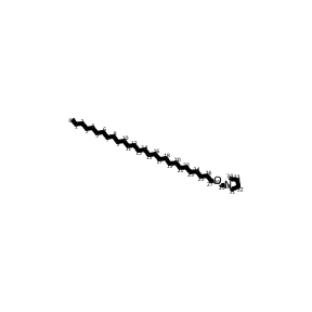 CCCCCCCCCCCCCCCCCCCCCCCCCCCCOCN1CCCC1